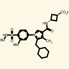 Cc1c(C(=O)N[C@H]2C[C@H](C(=O)O)C2)cn(-c2ccc(S(=O)(=O)NC(C)(C)C)c(C(C)(C)C)c2)c1CC1CCCCC1